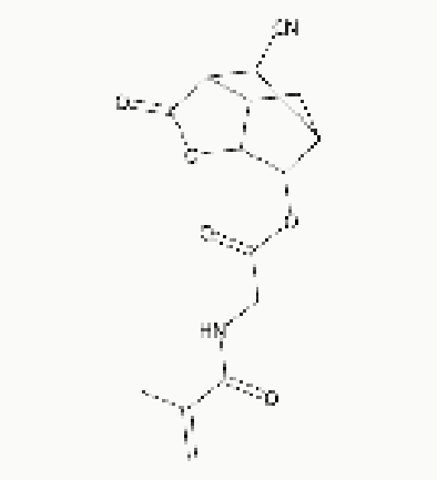 C=C(C)C(=O)NCC(=O)OC1C2CC3C1OC(=O)C3C2C#N